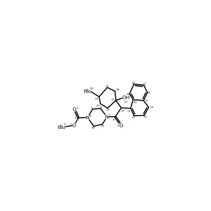 CC(C)(C)OC(=O)N1CCN(C(=O)C(c2cccc3ccccc23)C2(O)CCC(C(C)(C)C)CC2)CC1